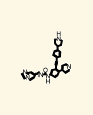 O=C(NCc1ccn2ccnc2c1)Nc1ccc(-c2ccncc2)c(C#Cc2ccc(C3CCNCC3)cc2)c1